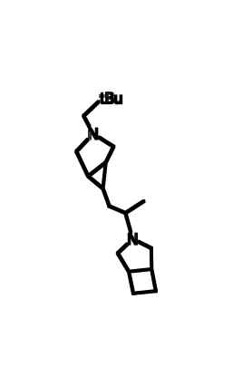 CC(CC1C2CN(CC(C)(C)C)CC12)N1CC2CCC2C1